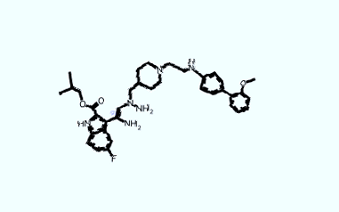 COc1ccccc1-c1ccc(NCCN2CCC(CN(N)/C=C(\N)c3c(C(=O)OCC(C)C)[nH]c4ccc(F)cc34)CC2)cc1